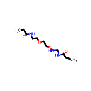 C=CC(=O)NCCOCCONCNC(=O)C=C